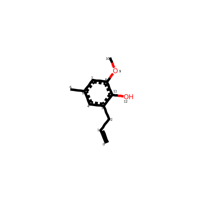 C=CCc1cc(C)cc(OC)c1O